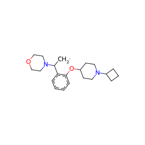 [CH2]C(c1ccccc1OC1CCN(C2CCC2)CC1)N1CCOCC1